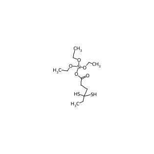 CCO[Si](OCC)(OCC)OC(=O)CCC(S)(S)CC